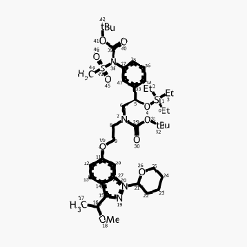 CC[Si](CC)(CC)O[C@@H](CN(CCOc1ccc2c(C(C)OC)nn(C3CCCCO3)c2c1)C(=O)OC(C)(C)C)c1cccc(N(C(=O)OC(C)(C)C)S(C)(=O)=O)c1